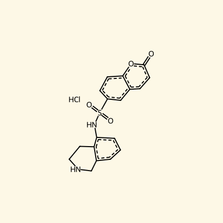 Cl.O=c1ccc2cc(S(=O)(=O)Nc3cccc4c3CCNC4)ccc2o1